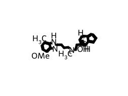 COc1ccc(C)c2[nH]c(CCCN(C)CC[C@]3(O)C[C@H]4CCC[C@@H]3c3ccccc34)nc12